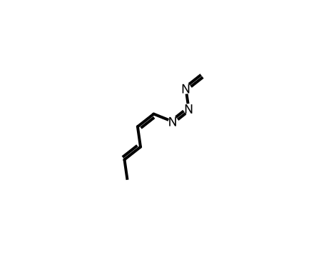 C=N\N=N/C=C\C=C\C